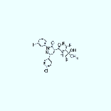 CC(O)(CF)[C@@H](NC(=O)c1cc(-c2ccc(Cl)cc2)nn(-c2cccc(F)c2)c1=O)C(F)F